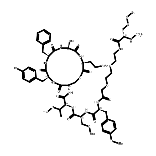 CCSSC[C@H](NC(=O)O)C(=O)NCCOCCOCC(=O)N[C@@H](Cc1ccc(OC(C)(C)C)cc1)C(=O)N[C@@H](COC(C)(C)C)C(=O)N[C@H](C(=O)N[C@H]1COC(=O)[C@H](CCSC)NC(=O)[C@H](C(C)CC)NC(=O)[C@H](Cc2ccccc2)NC(=O)[C@H](Cc2ccc(O)cc2)NC1=O)C(C)OC(C)(C)C